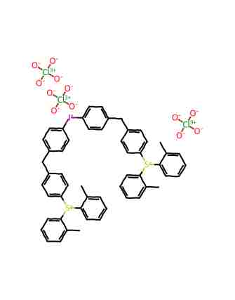 Cc1ccccc1[S+](c1ccc(Cc2ccc([I+]c3ccc(Cc4ccc([S+](c5ccccc5C)c5ccccc5C)cc4)cc3)cc2)cc1)c1ccccc1C.[O-][Cl+3]([O-])([O-])[O-].[O-][Cl+3]([O-])([O-])[O-].[O-][Cl+3]([O-])([O-])[O-]